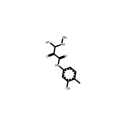 CCCC(NC(C)(C)C)C(=O)C(=O)Nc1ccc(C)c(C#N)c1